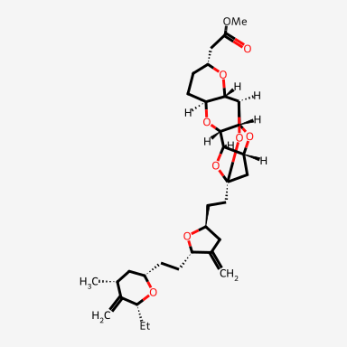 C=C1C[C@H](CC[C@@]23C[C@H]4O[C@H]5[C@@H](O2)[C@H]2O[C@@H](CC(=O)OC)CC[C@@H]2O[C@H]5[C@H]4O3)O[C@H]1CC[C@H]1C[C@@H](C)C(=C)[C@@H](CC)O1